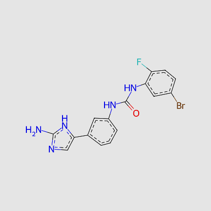 Nc1ncc(-c2cccc(NC(=O)Nc3cc(Br)ccc3F)c2)[nH]1